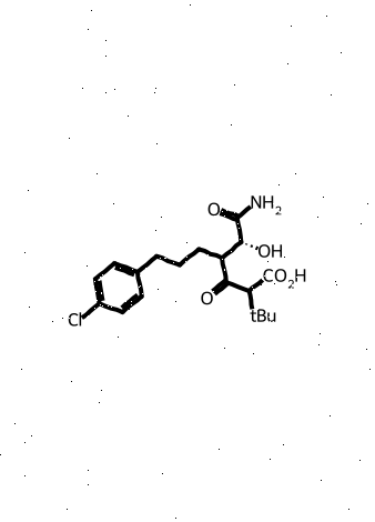 CC(C)(C)C(C(=O)O)C(=O)C(CCCc1ccc(Cl)cc1)[C@@H](O)C(N)=O